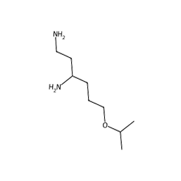 CC(C)OCCCC(N)CCN